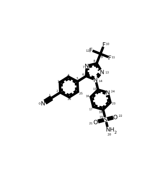 N#Cc1ccc(-c2nc(C(F)(F)F)nn2-c2ccc(S(N)(=O)=O)cn2)cc1